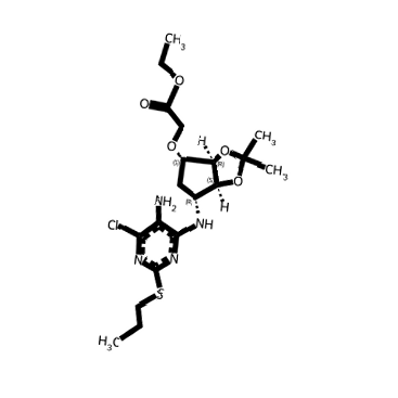 CCCSc1nc(Cl)c(N)c(N[C@@H]2C[C@H](OCC(=O)OCC)[C@H]3OC(C)(C)O[C@H]32)n1